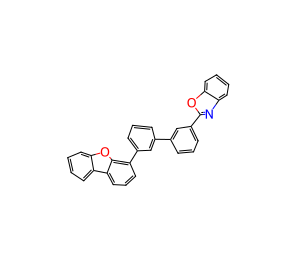 c1cc(-c2cccc(-c3cccc4c3oc3ccccc34)c2)cc(-c2nc3ccccc3o2)c1